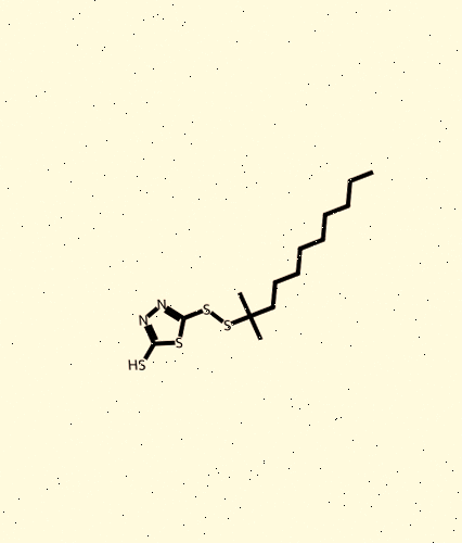 CCCCCCCCCC(C)(C)SSc1nnc(S)s1